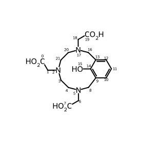 O=C(O)CN1CCN(CC(=O)O)Cc2cccc(c2O)CN(CC(=O)O)CC1